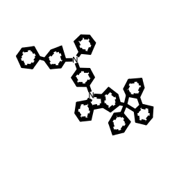 c1ccc(-c2ccc(N(c3ccccc3)c3ccc(-n4c5ccccc5c5cc(C6(c7ccccc7)c7ccccc7-c7ccccc76)ccc54)cc3)cc2)cc1